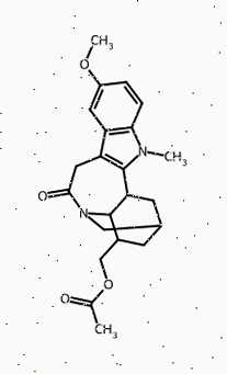 COc1ccc2c(c1)c1c(n2C)C2CC3CC(COC(C)=O)C2N(C3)C(=O)C1